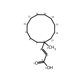 CC1(/C=C/C(=O)O)CCCCCCCCCCC1